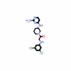 Nc1nccc(N[C@H]2CCCN(C(=O)CNc3cc(Cl)cc(Cl)c3)C2)n1